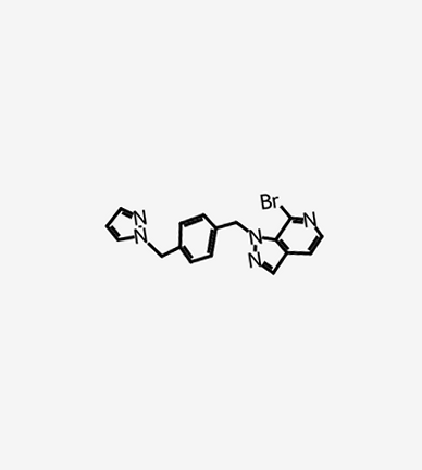 Brc1nccc2cnn(Cc3ccc(Cn4cccn4)cc3)c12